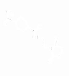 NC(=O)[C@H]1CC[C@@H](C(=O)NCCN2C(=O)CSC2=O)CC1